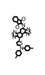 Cc1ccc(N(c2ccc(C)cc2)c2ccc(-c3cc4c(cc(N=c5c(=O)c6ccccc6c5=O)c5nsnc54)c4nsnc34)s2)cc1